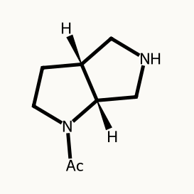 CC(=O)N1CC[C@@H]2CNC[C@@H]21